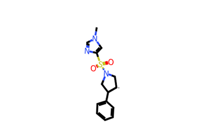 Cn1cnc(S(=O)(=O)N2C[CH]C(c3ccccc3)C2)c1